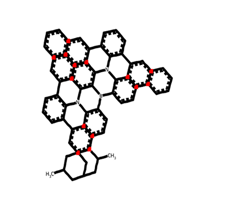 CC1CC2CC(C)N(c3ccc4c(c3)N(c3c(-c5ccccc5)cccc3-c3ccccc3)c3cc(-c5ccccc5)cc5c3B4c3ccc(-c4ccccc4)cc3N5c3c(-c4ccccc4)cccc3-c3ccccc3)C(C1)C2